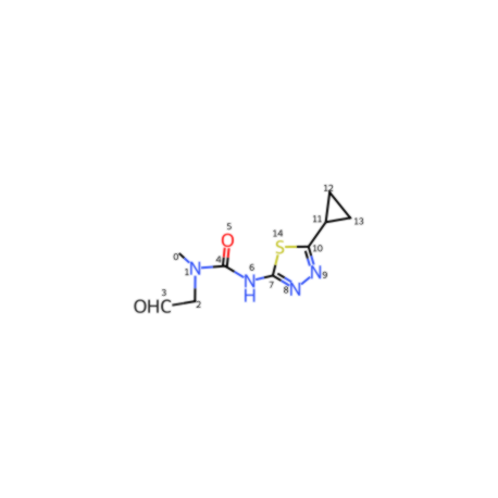 CN(CC=O)C(=O)Nc1nnc(C2CC2)s1